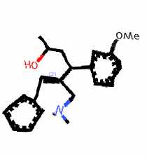 COc1cccc(C(CC(C)O)/C(=C/c2ccccc2)CN(C)C)c1